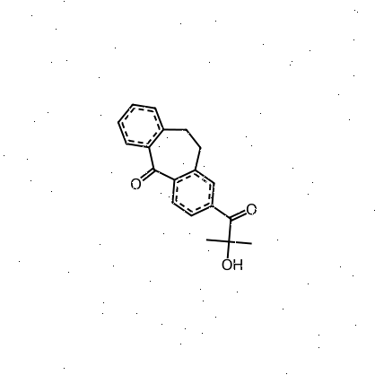 CC(C)(O)C(=O)c1ccc2c(c1)CCc1ccccc1C2=O